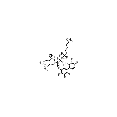 CCCCCCC(F)(F)C(F)(F)C(F)(F)NC(CCCC)CC(C)CCC.Fc1ccc(-c2c(F)c(F)c(F)c(F)c2F)c(F)c1F